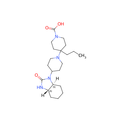 CCCC1(N2CCC(N3C(=O)N[C@H]4CCCC[C@@H]43)CC2)CCN(C(=O)O)CC1